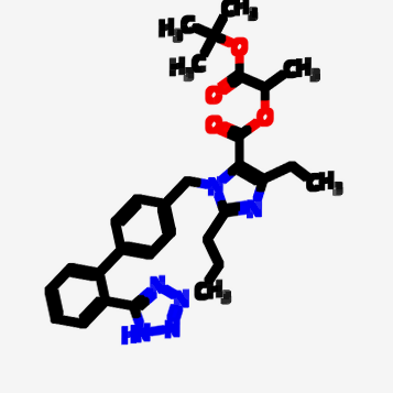 CCCc1nc(CC)c(C(=O)OC(C)C(=O)OC(C)(C)C)n1Cc1ccc(-c2ccccc2-c2nnn[nH]2)cc1